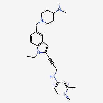 C=N/C(C)=C\C(=C/C)NCC#Cc1cc2cc(CN3CCC(N(C)C)CC3)ccc2n1CC